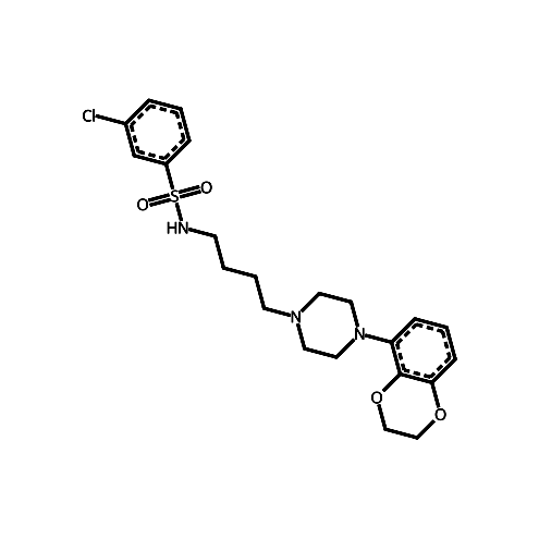 O=S(=O)(NCCCCN1CCN(c2cccc3c2OCCO3)CC1)c1cccc(Cl)c1